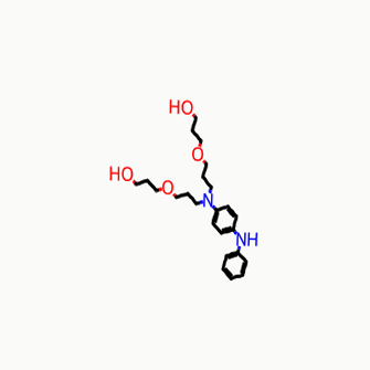 OCCCOCCCN(CCCOCCCO)c1ccc(Nc2ccccc2)cc1